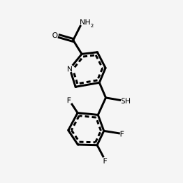 NC(=O)c1ccc(C(S)c2c(F)ccc(F)c2F)cn1